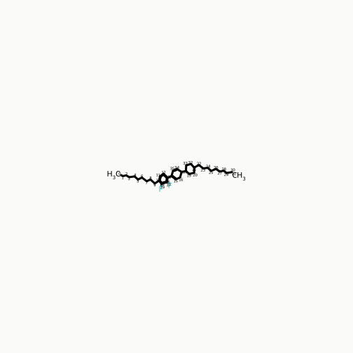 CCCCCCCCCCc1ccc(C2=CCC(C3CCC(CCCCCCCCCC)CC3)C=C2)c(F)c1F